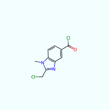 Cn1c(CCl)nc2cc(C(=O)Cl)ccc21